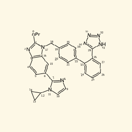 CCCc1nc2ccc(-c3nccn3C3CC3)cc2n1Cc1ccc(-c2ccccc2-c2nnn[nH]2)cc1